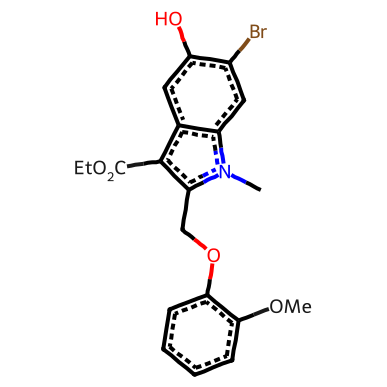 CCOC(=O)c1c(COc2ccccc2OC)n(C)c2cc(Br)c(O)cc12